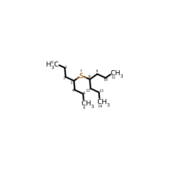 CCCC(CCC)SC(CCC)CCC